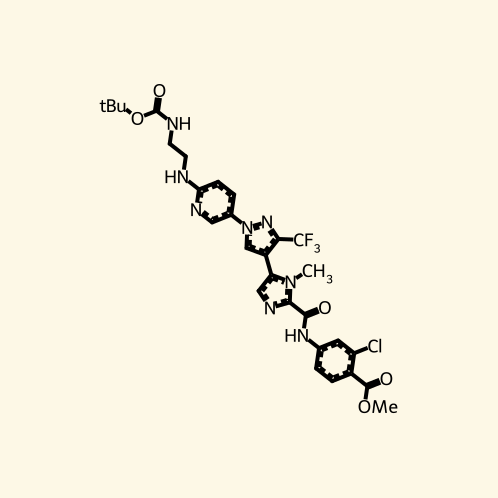 COC(=O)c1ccc(NC(=O)c2ncc(-c3cn(-c4ccc(NCCNC(=O)OC(C)(C)C)nc4)nc3C(F)(F)F)n2C)cc1Cl